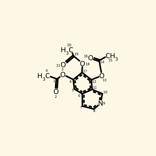 CC(=O)Oc1cc2ccncc2c(OC(C)=O)c1OC(C)=O